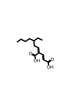 CCCCC(CC)CC=C(C=CC(=O)O)C(=O)O